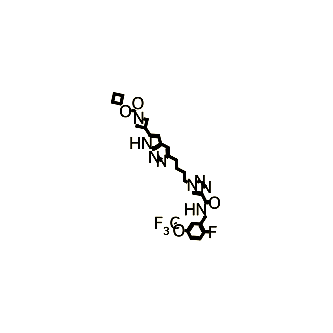 O=C(NCc1cc(OC(F)(F)F)ccc1F)c1cn(CCCCc2cc3cc(C4CN(C(=O)OC5CCC5)C4)[nH]c3nn2)nn1